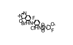 CO[C@H]1CN(S(=O)(=O)Nc2ccc(F)c(Nc3ccc4ncn(C)c(=O)c4c3Br)c2Cl)C[C@H]1F